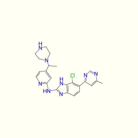 Cc1cc(-c2ccc3nc(Nc4cc(C(C)N5CCNCC5)ccn4)[nH]c3c2Cl)ncn1